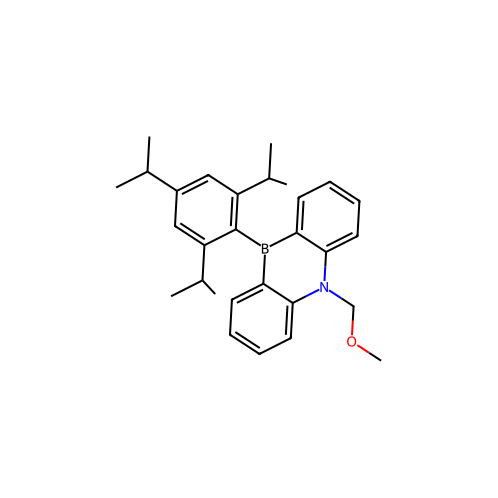 COCN1c2ccccc2B(c2c(C(C)C)cc(C(C)C)cc2C(C)C)c2ccccc21